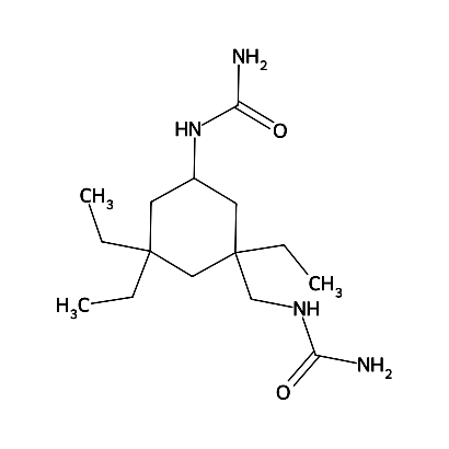 CCC1(CC)CC(NC(N)=O)CC(CC)(CNC(N)=O)C1